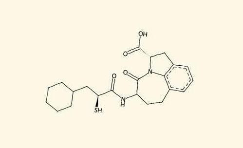 O=C(NC1CCc2cccc3c2N(C1=O)[C@H](C(=O)O)C3)[C@@H](S)CC1CCCCC1